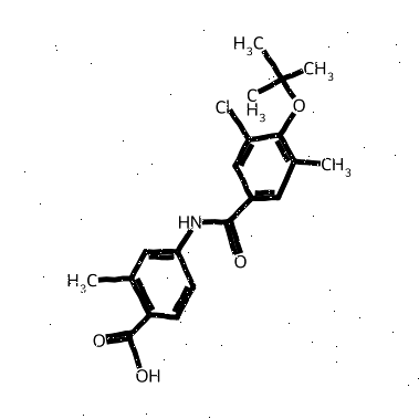 Cc1cc(NC(=O)c2cc(C)c(OC(C)(C)C)c(Cl)c2)ccc1C(=O)O